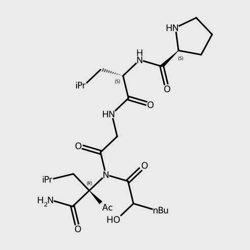 CCCCC(O)C(=O)N(C(=O)CNC(=O)[C@H](CC(C)C)NC(=O)[C@@H]1CCCN1)[C@](CC(C)C)(C(C)=O)C(N)=O